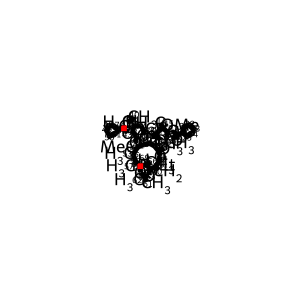 C=C1[C@@H](CC)OC(=O)[C@H](C)[C@@H](OC2C[C@@](C)(OC)[C@@H](OC(=O)c3ccccc3)[C@H](C)O2)[C@H](C)[C@@H](OC2O[C@H](C)C[C@H](N(C)C)[C@H]2OC(=O)c2ccccc2)[C@@](C)(OC)C[C@@H](C)[C@@H]2OC(C)(C)O[C@@H]1[C@H]2C